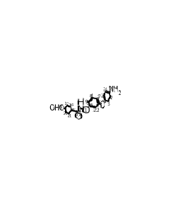 Nc1ccc(Oc2cccc(ONC(=O)c3ccc(C=O)cc3)c2)cc1